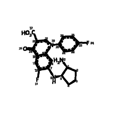 N[C@H]1CCC[C@H]1Nc1cc2c(cc1F)c(=O)c(C(=O)O)cn2-c1ccc(F)cc1